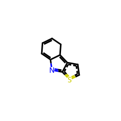 C1=CCC2=c3ccsc3=NC2=C1